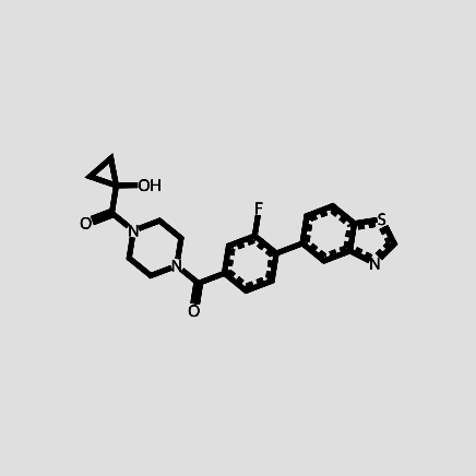 O=C(c1ccc(-c2ccc3scnc3c2)c(F)c1)N1CCN(C(=O)C2(O)CC2)CC1